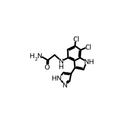 NC(=O)CNc1cc(Cl)c(Cl)c2[nH]cc(-c3cn[nH]c3)c12